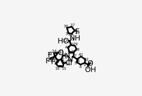 O=C(O)C1CC=C(c2nn(C(=O)c3c(Cl)cccc3C3(C(F)(F)F)CC3)c3c2CCC(C(O)N[C@H]2CCC[C@H]2F)C3)CC1